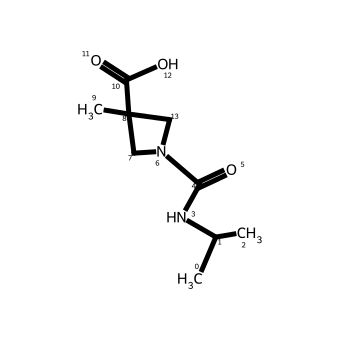 CC(C)NC(=O)N1CC(C)(C(=O)O)C1